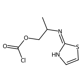 CC(COC(=O)Cl)/N=c1\[nH]ccs1